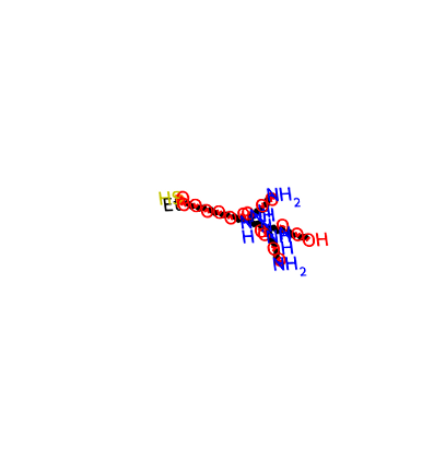 CCP(=O)(S)OCCOCCOCCOCCOCCC(=O)NC(CCC(=O)NC(CCC(=O)NCCOCCO)C(=O)NCCOCCON)C(=O)NCCOCCON